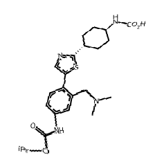 CC(C)OC(=O)Nc1ccc(-c2cnc([C@H]3CC[C@H](NC(=O)O)CC3)s2)c(CN(C)C)c1